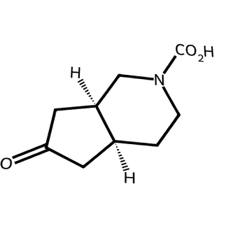 O=C1C[C@@H]2CCN(C(=O)O)C[C@@H]2C1